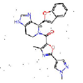 Cc1nc(-c2cnn(C)c2)oc1C(=O)N1CCc2[nH]cnc2[C@H]1c1cc2ccccc2o1